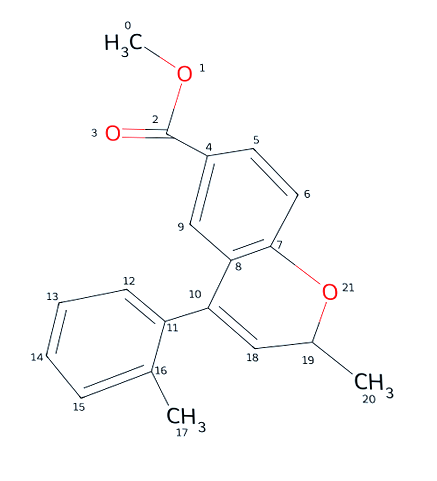 COC(=O)c1ccc2c(c1)C(c1ccccc1C)=CC(C)O2